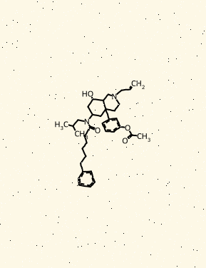 C=CCN1CCC2(c3cccc(OC(C)=O)c3)CC(N(CC(C)C)C(=O)CCCCCc3ccccc3)CC(O)C2C1